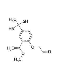 C=C(OC)c1cc(C(C)(S)S)ccc1OCC=O